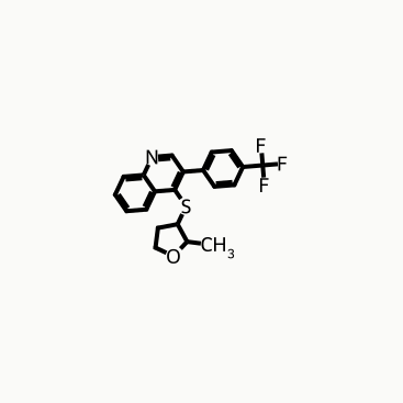 CC1OCCC1Sc1c(-c2ccc(C(F)(F)F)cc2)cnc2ccccc12